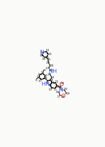 Cc1cc(C)cc(-c2[nH]c3ccc(C(=O)N4CCOCC4)cc3c2CCNCCCCc2ccncc2)c1